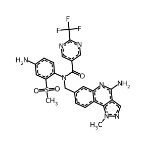 Cn1ncc2c(N)nc3cc(CN(C(=O)c4cnc(C(F)(F)F)nc4)c4ccc(N)cc4S(C)(=O)=O)ccc3c21